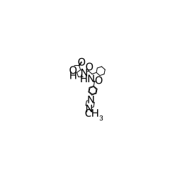 CN1CCN(c2ccc(C(=O)NC(C(=O)N3CC[C@@H]4OCC(=O)C43)C3CCCCC3)cc2)CC1